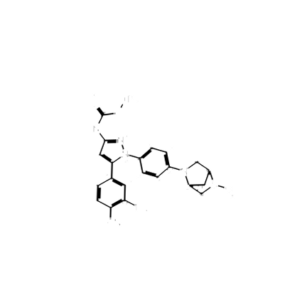 CC(C)(C)OC(=O)Nc1cc(-c2ccc(C#N)c(F)c2)n(-c2ccc(N3CC4CC3C[S+]4[O-])cc2)n1